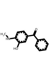 CNc1ccc(C(=O)c2ccccc2)cc1O